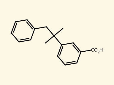 CC(C)(Cc1ccccc1)c1cccc(C(=O)O)c1